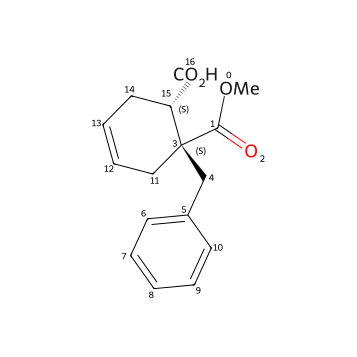 COC(=O)[C@]1(Cc2ccccc2)CC=CC[C@@H]1C(=O)O